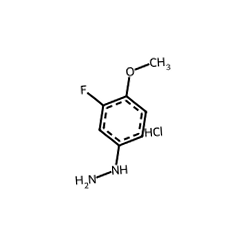 COc1ccc(NN)cc1F.Cl